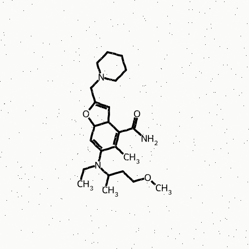 CCN(C1=CC2OC(CN3CCCCC3)=CC2C(C(N)=O)=C1C)C(C)CCOC